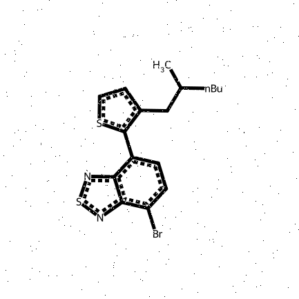 CCCCC(C)Cc1ccsc1-c1ccc(Br)c2nsnc12